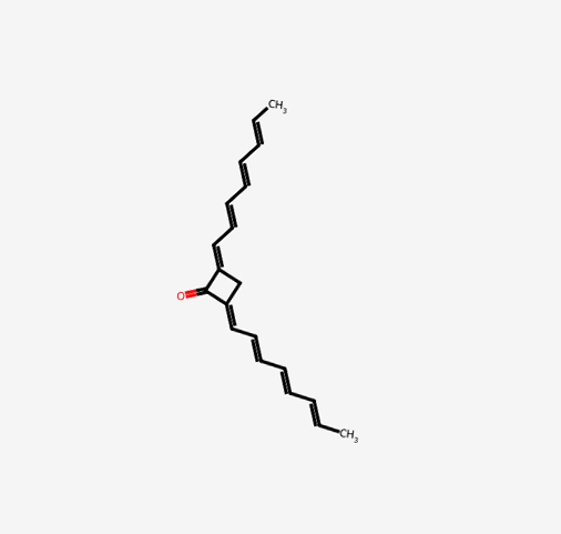 C/C=C/C=C/C=C/C=C1\C\C(=C/C=C/C=C/C=C/C)C1=O